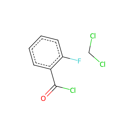 ClCCl.O=C(Cl)c1ccccc1F